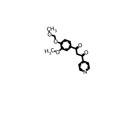 COCOc1ccc(C(=O)CC(=O)c2ccncc2)cc1OC